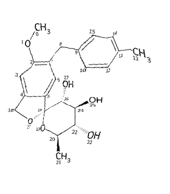 COc1cc2c(cc1Cc1ccc(C)cc1)[C@]1(OC2)O[C@H](C)[C@@H](O)[C@H](O)[C@H]1O